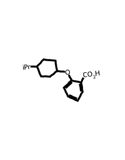 CC(C)C1CCC(Oc2ccccc2C(=O)O)CC1